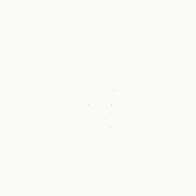 C=Cc1c(O)c(C(C)=O)cc2c(=O)cc(/C=C/C)oc12